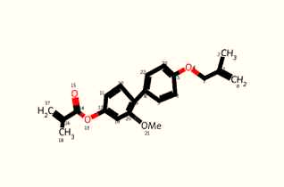 C=C(C)COc1ccc(-c2ccc(OC(=O)C(=C)C)cc2OC)cc1